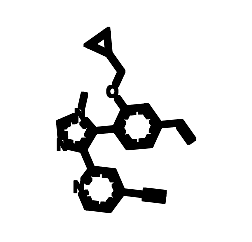 C#Cc1ccnc(-c2ncn(C)c2-c2ccc(C=C)cc2OCC2CC2)c1